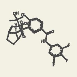 CC(C)(O)[C@]1(O)CC2CCC(C1)[C@H]2S(=O)(=O)c1cc(C(=O)Nc2cc(F)c(F)c(F)c2)ccc1Cl